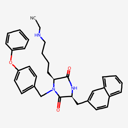 N#CCNCCCC[C@H]1C(=O)N[C@@H](Cc2ccc3ccccc3c2)C(=O)N1Cc1ccc(Oc2ccccc2)cc1